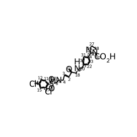 O=C(C=CCNCS(=O)(=O)c1ccc(Cl)cc1Cl)CNCc1ccc(C2=NCCN2C(=O)O)cc1